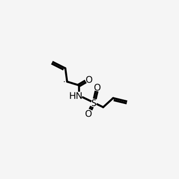 C=C[CH]C(=O)NS(=O)(=O)CC=C